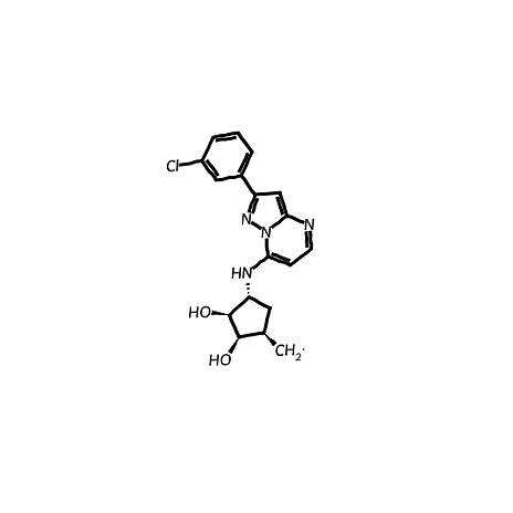 [CH2][C@@H]1C[C@@H](Nc2ccnc3cc(-c4cccc(Cl)c4)nn23)[C@H](O)[C@@H]1O